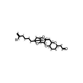 C=C(Br)C[CH]CCC12CC3OC4C(OC5CCC(CC=O)OC5C4O1)C3O2